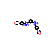 c1cc(-c2n[nH]c(-c3ccc(N4CCOCC4)cc3)n2)cc(-c2n[nH]c(-c3ccc(N4CCOCC4)cc3)n2)c1